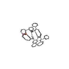 c1ccc(-c2ccc3c(c2)-c2c(N(c4ccccc4)c4ccccc4-c4ccccc4)cc4ccccc4c2C3(c2ccccc2)c2ccccc2)cc1